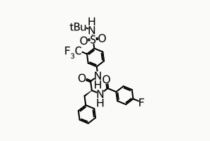 CC(C)(C)NS(=O)(=O)c1ccc(NC(=O)[C@H](Cc2ccccc2)NC(=O)c2ccc(F)cc2)cc1C(F)(F)F